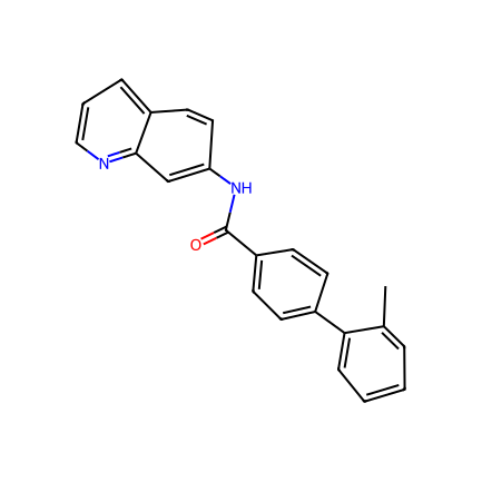 Cc1ccccc1-c1ccc(C(=O)Nc2ccc3cccnc3c2)cc1